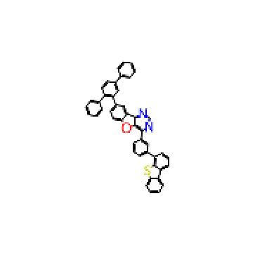 c1ccc(-c2ccc(-c3ccccc3)c(-c3ccc4oc5c(-c6cccc(-c7cccc8c7sc7ccccc78)c6)ncnc5c4c3)c2)cc1